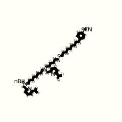 C=C(C)c1cccc(CN(CCCC)CCCCCCCCN(CCCCCCSCCCCCCCCCc2ccc(SC#N)cc2)Cc2cccc(C(=C)C)n2)n1